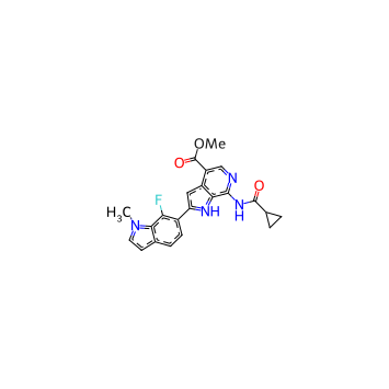 COC(=O)c1cnc(NC(=O)C2CC2)c2[nH]c(-c3ccc4ccn(C)c4c3F)cc12